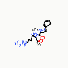 CC(C)C(=O)C(CCCCN)NC(=O)C(Cc1ccccc1)NC(C)(C)C